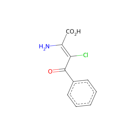 NC(C(=O)O)=C(Cl)C(=O)c1ccccc1